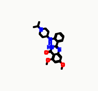 COc1cc(OC)c2c(=O)[nH]c(-c3ccccc3NC3CCN(C(C)C)CC3)nc2c1